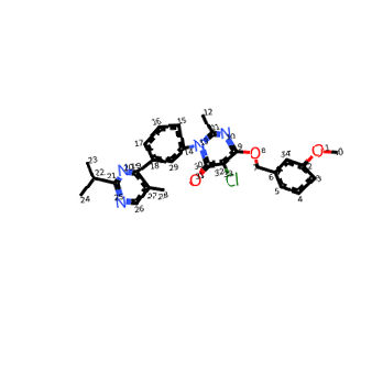 COc1cccc(COc2nc(C)n(-c3cccc(-c4nc(C(C)C)ncc4C)c3)c(=O)c2Cl)c1